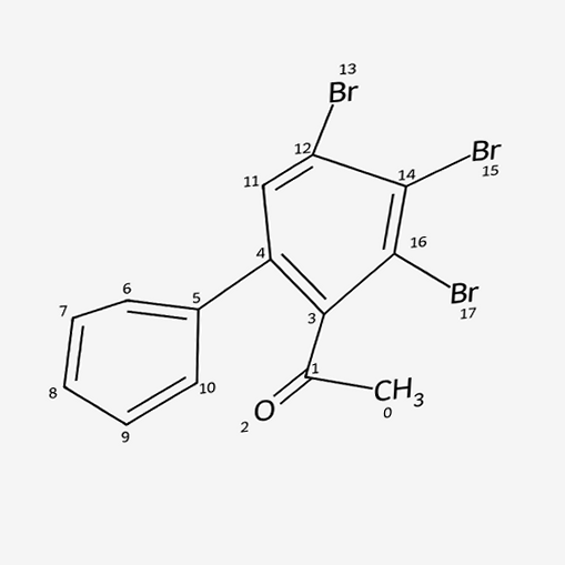 CC(=O)c1c(-c2ccccc2)cc(Br)c(Br)c1Br